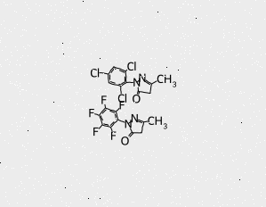 CC1=NN(c2c(Cl)cc(Cl)cc2Cl)C(=O)C1.CC1=NN(c2c(F)c(F)c(F)c(F)c2F)C(=O)C1